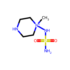 C[N+]1(NS(N)(=O)=O)CCNCC1